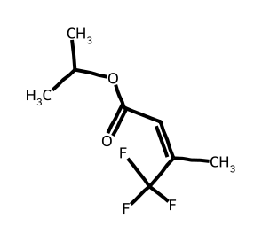 CC(=CC(=O)OC(C)C)C(F)(F)F